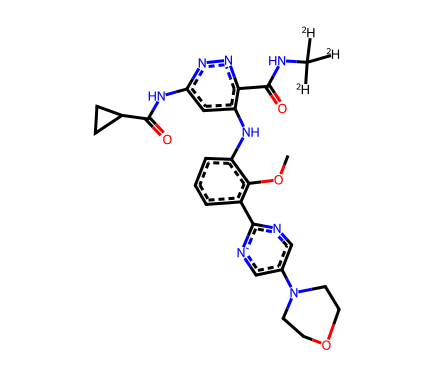 [2H]C([2H])([2H])NC(=O)c1nnc(NC(=O)C2CC2)cc1Nc1cccc(-c2ncc(N3CCOCC3)cn2)c1OC